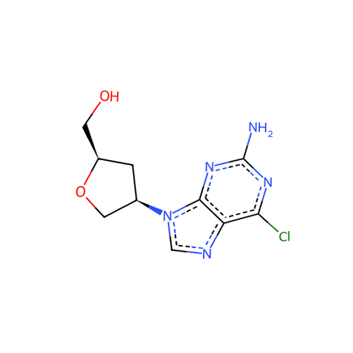 Nc1nc(Cl)c2ncn([C@H]3CO[C@@H](CO)C3)c2n1